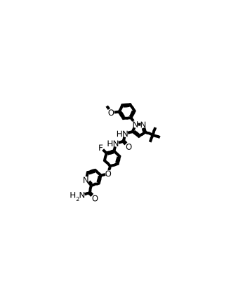 COc1cccc(-n2nc(C(C)(C)C)cc2NC(=O)NC2=C(F)CC(Oc3ccnc(C(N)=O)c3)C=C2)c1